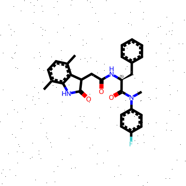 Cc1ccc(C)c2c1NC(=O)C2CC(=O)N[C@@H](Cc1ccccc1)C(=O)N(C)c1ccc(F)cc1